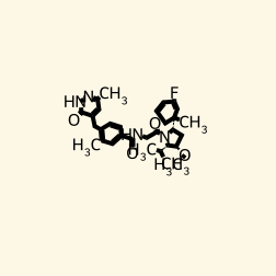 CO[C@@H]1C[C@@H](C2(C)C=C(F)C=CC2)N(C(=O)CNC(=O)c2ccc(Cc3cc(C)n[nH]c3=O)c(C)c2)[C@H]1C(C)C